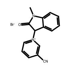 CN1C(=O)C([n+]2cccc(C#N)c2)c2ccccc21.[Br-]